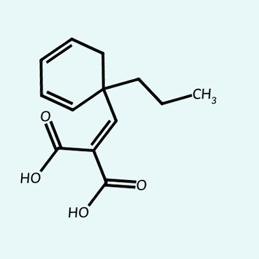 CCCC1(C=C(C(=O)O)C(=O)O)C=CC=CC1